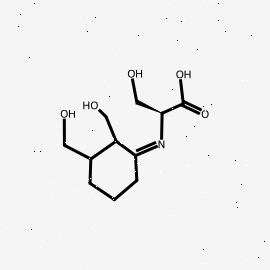 O=C(O)[C@H](CO)/N=C1/CCCC(CO)C1CO